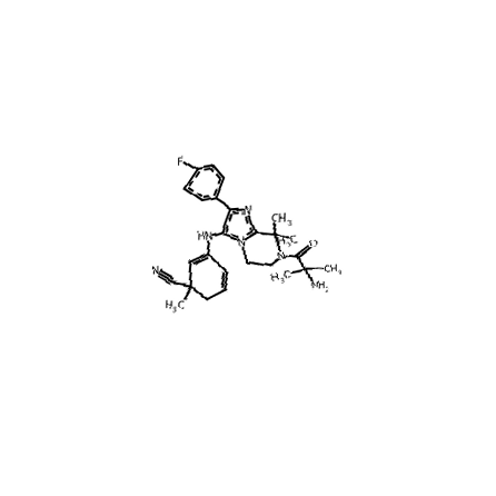 CC1(C#N)C=C(Nc2c(-c3ccc(F)cc3)nc3n2CCN(C(=O)C(C)(C)N)C3(C)C)C=CC1